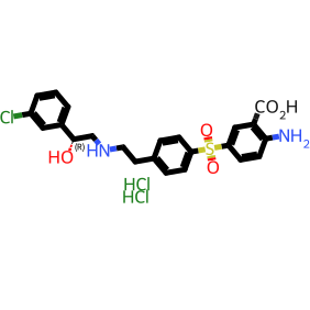 Cl.Cl.Nc1ccc(S(=O)(=O)c2ccc(CCNC[C@H](O)c3cccc(Cl)c3)cc2)cc1C(=O)O